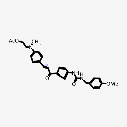 COc1ccc(CNC(=O)Nc2ccc(C(=O)/C=C/c3ccc(N(C)CCOC(C)=O)cc3)cc2)cc1